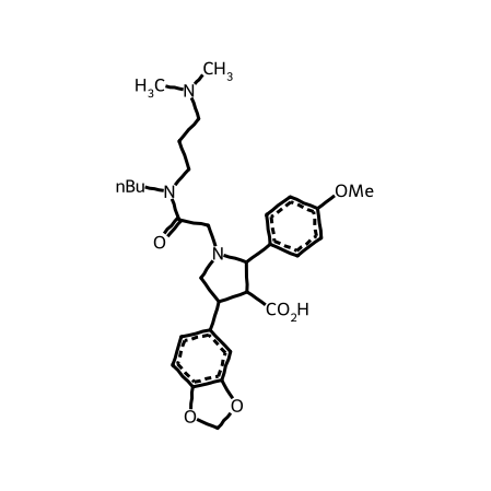 CCCCN(CCCN(C)C)C(=O)CN1CC(c2ccc3c(c2)OCO3)C(C(=O)O)C1c1ccc(OC)cc1